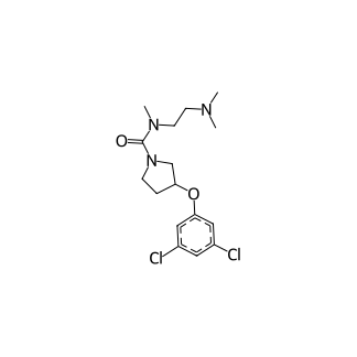 CN(C)CCN(C)C(=O)N1CCC(Oc2cc(Cl)cc(Cl)c2)C1